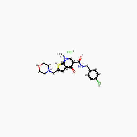 Cl.Cn1cc(C(=O)NCc2ccc(Cl)cc2)c(=O)c2cc(CN3CCOCC3)sc21